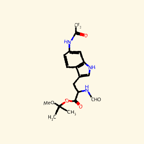 COC(C)(C)OC(=O)C(Cc1c[nH]c2cc(NC(=O)C(F)(F)F)ccc12)NC=O